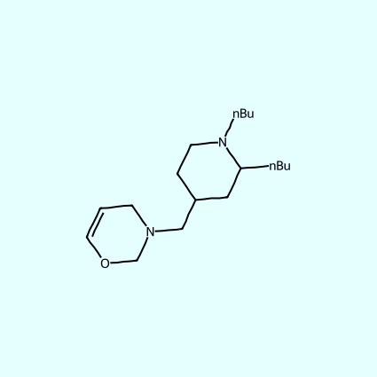 CCCCC1CC(CN2CC=COC2)CCN1CCCC